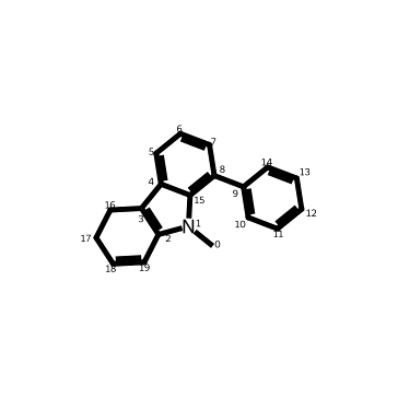 Cn1c2c(c3cccc(-c4ccccc4)c31)CCC=C2